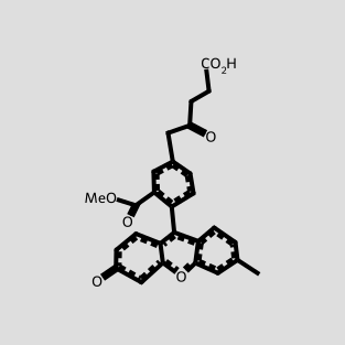 COC(=O)c1cc(CC(=O)CCC(=O)O)ccc1-c1c2ccc(=O)cc-2oc2cc(C)ccc12